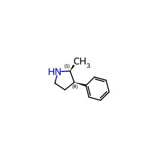 C[C@@H]1NCC[C@@H]1c1ccccc1